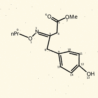 CCCO/N=C(/CC(=O)OC)Cc1ccc(O)cc1